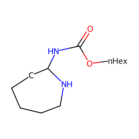 CCCCCCOC(=O)NC1CCCCCN1